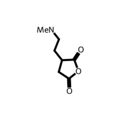 CNCCC1CC(=O)OC1=O